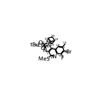 CCc1nc2c(SC)nc3c(F)c(Br)c(C)cc3c2n1C1C2CC1N(C(=O)OC(C)(C)C)C2